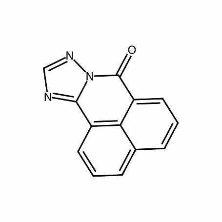 O=c1c2cccc3cccc(c32)c2ncnn12